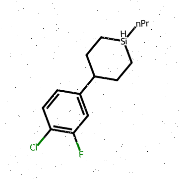 CCC[SiH]1CCC(c2ccc(Cl)c(F)c2)CC1